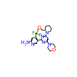 Nc1cc(C(F)(F)F)c(-c2nc(N3CCOCC3)cc(N3CCCCC3C=O)n2)cn1